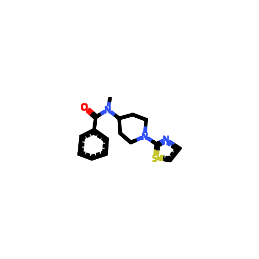 CN(C(=O)c1ccccc1)C1CCN(c2nccs2)CC1